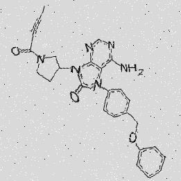 CC#CC(=O)N1CCC(n2c(=O)n(-c3ccc(COc4ccccc4)cc3)c3c(N)ncnc32)C1